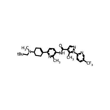 Cc1nc(C2=CCC(N(C)CC(C)(C)C)CC2)ccc1NC(=O)c1cnn(-c2ccc(C(F)(F)F)cn2)c1C